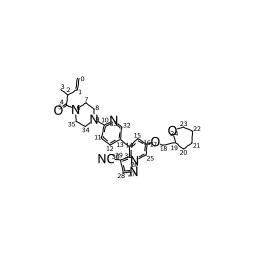 C=CC(C)C(=O)N1CCN(c2ccc(-c3cc(OCC4CCCCO4)cn4ncc(C#N)c34)cn2)CC1